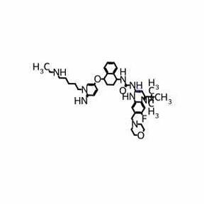 CCNCCCCCn1cc(OC2CCC(NC(=O)N/C(=C/C(=N)C(C)(C)C)Nc3ccc(F)c(CN4CCOCC4)c3)c3ccccc32)ccc1=N